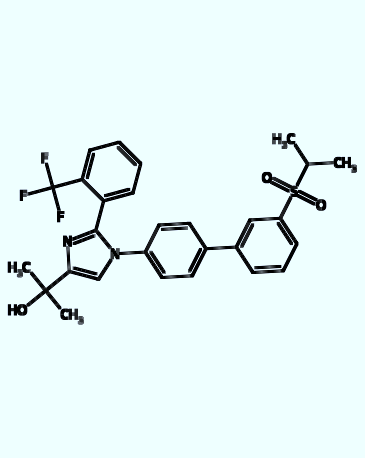 CC(C)S(=O)(=O)c1cccc(-c2ccc(-n3cc(C(C)(C)O)nc3-c3ccccc3C(F)(F)F)cc2)c1